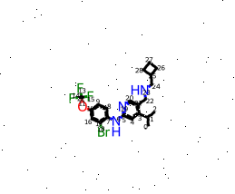 CC(C)c1cc(Nc2ccc(OC(F)(F)F)cc2Br)ncc1CNCC1CCC1